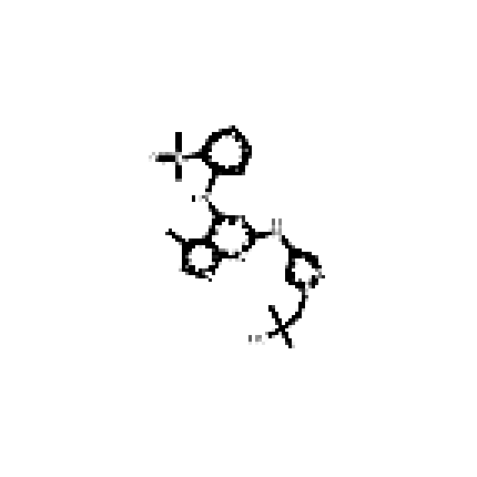 Cc1csc2nc(Nc3cnn(CC(C)(C)O)c3)nc(Nc3ccccc3P(C)(C)=O)c12